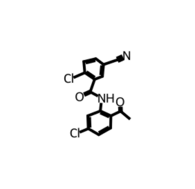 CC(=O)c1ccc(Cl)cc1NC(=O)c1cc(C#N)ccc1Cl